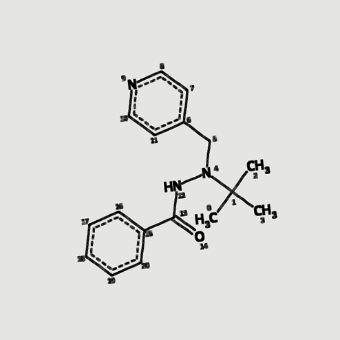 CC(C)(C)N(Cc1ccncc1)NC(=O)c1ccccc1